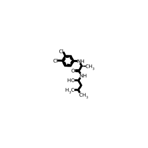 CC(C)CC(O)NC(=O)[C@H](C)Nc1ccc(Cl)c(Cl)c1